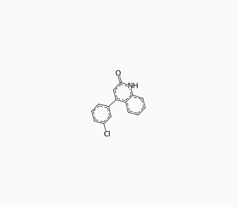 O=c1cc(-c2cccc(Cl)c2)c2ccccc2[nH]1